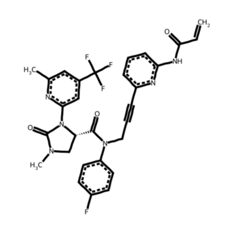 C=CC(=O)Nc1cccc(C#CCN(C(=O)[C@@H]2CN(C)C(=O)N2c2cc(C(F)(F)F)cc(C)n2)c2ccc(F)cc2)n1